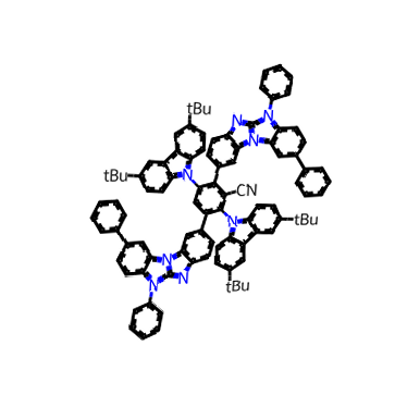 CC(C)(C)c1ccc2c(c1)c1cc(C(C)(C)C)ccc1n2-c1cc(-c2ccc3nc4n(-c5ccccc5)c5ccc(-c6ccccc6)cc5n4c3c2)c(-n2c3ccc(C(C)(C)C)cc3c3cc(C(C)(C)C)ccc32)c(C#N)c1-c1ccc2nc3n(-c4ccccc4)c4ccc(-c5ccccc5)cc4n3c2c1